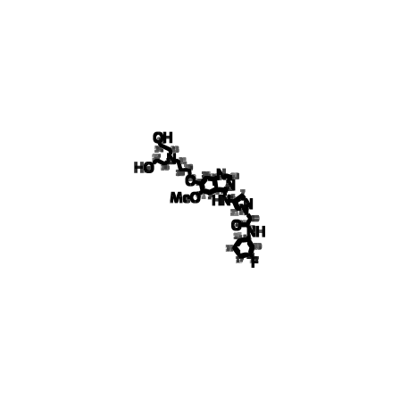 COc1cc2c(Nc3cnn(CC(=O)Nc4cccc(F)c4)c3)ncnc2cc1OCCCN(CCO)CCO